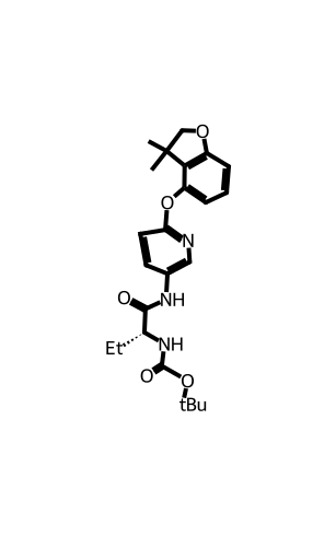 CC[C@@H](NC(=O)OC(C)(C)C)C(=O)Nc1ccc(Oc2cccc3c2C(C)(C)CO3)nc1